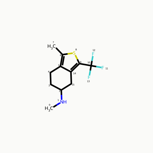 CNC1CCc2c(C)sc(C(F)(F)F)c2C1